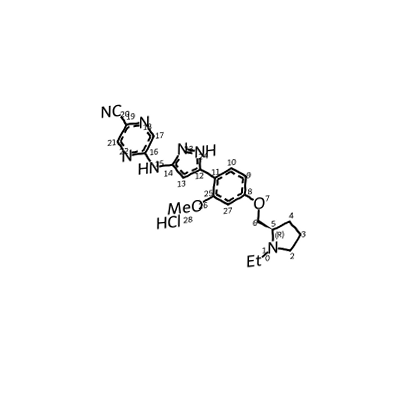 CCN1CCC[C@@H]1COc1ccc(-c2cc(Nc3cnc(C#N)cn3)n[nH]2)c(OC)c1.Cl